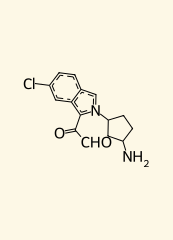 NC1CCC(n2cc3ccc(Cl)cc3c2C(=O)C=O)C1